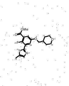 COC(=O)c1cc(OCC2CCOCC2)cc(-c2ncc(C)s2)c1F